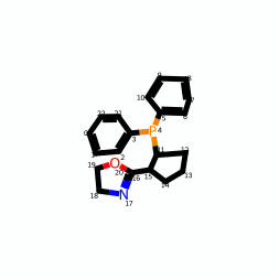 c1ccc(P(c2ccccc2)C2CCCC2C2=NCCO2)cc1